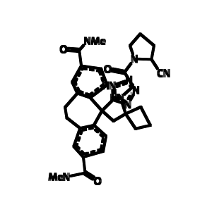 CNC(=O)c1ccc2c(c1)CCc1cc(C(=O)NC)ccc1C2(CC1(NCC(=O)N2CCCC2C#N)CCC1)c1nnn[nH]1